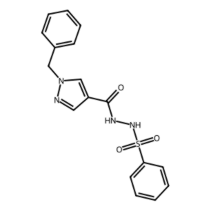 O=C(NNS(=O)(=O)c1ccccc1)c1cnn(Cc2ccccc2)c1